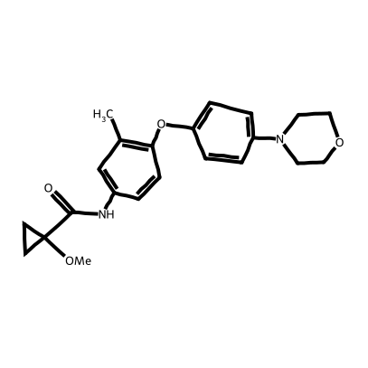 COC1(C(=O)Nc2ccc(Oc3ccc(N4CCOCC4)cc3)c(C)c2)CC1